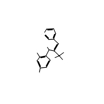 CC(C)(C)C(=Cc1cccnc1)C(O)c1ccc(Cl)cc1Cl